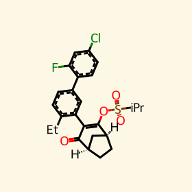 CCc1ccc(-c2ccc(Cl)cc2F)cc1C1=C(OS(=O)(=O)C(C)C)[C@H]2CC[C@H](C2)C1=O